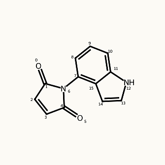 O=C1C=CC(=O)N1c1cccc2[nH]ccc12